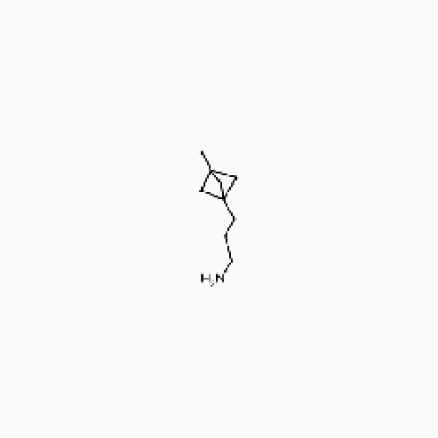 CC12CC(CCCN)(C1)C2